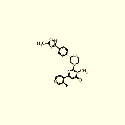 Cc1nc(-c2ccc([C@H]3CN(c4nc(-c5ccncc5F)cc(=O)n4C)CCO3)cc2)no1